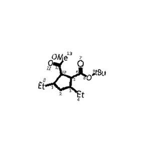 CCC1CC(CC)C(C(=O)OC(C)(C)C)C1C(=O)OC